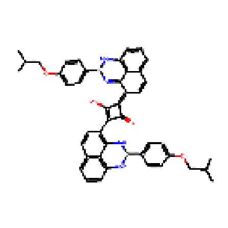 CC(C)COc1ccc(B2N=c3/c(=C4/C(=O)C(c5ccc6cccc7c6c5NB(c5ccc(OCC(C)C)cc5)N7)=C4O)ccc4cccc(c34)N2)cc1